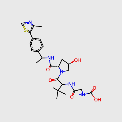 Cc1ncsc1-c1ccc(C(C)NC(=O)[C@@H]2C[C@@H](O)CN2C(=O)C(NC(=O)CNC(=O)O)C(C)(C)C)cc1